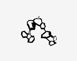 c1ccc2c(c1)oc1cc(-c3ccc4c(c3)-c3cc(-n5c6ccccc6c6ccccc65)ccc3CSC4)ccc12